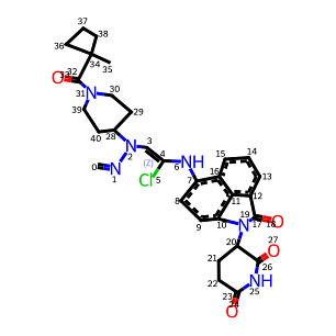 C=NN(/C=C(\Cl)Nc1ccc2c3c(cccc13)C(=O)N2C1CCC(=O)NC1=O)C1CCN(C(=O)C2(C)CCC2)CC1